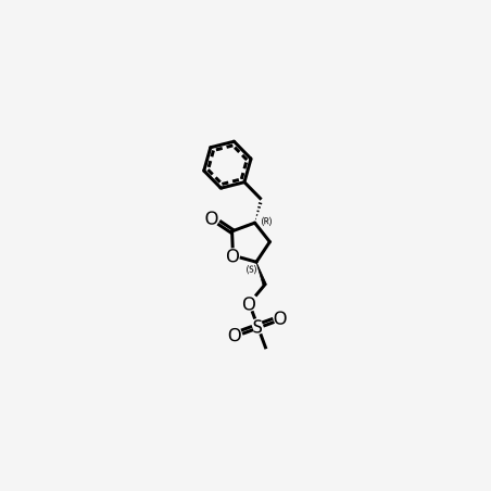 CS(=O)(=O)OC[C@@H]1C[C@@H](Cc2ccccc2)C(=O)O1